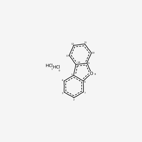 Cl.Cl.c1ccc2c(c1)oc1ccccc12